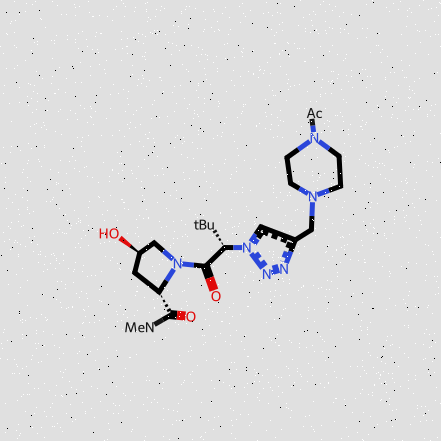 CNC(=O)[C@@H]1C[C@@H](O)CN1C(=O)[C@@H](n1cc(CN2CCN(C(C)=O)CC2)nn1)C(C)(C)C